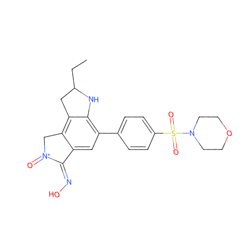 CCC1Cc2c3c(cc(-c4ccc(S(=O)(=O)N5CCOCC5)cc4)c2N1)C(=NO)[N+](=O)C3